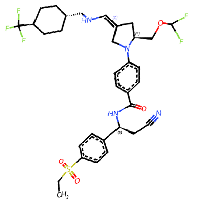 CCS(=O)(=O)c1ccc([C@H](CC#N)NC(=O)c2ccc(N3C/C(=C\NC[C@H]4CC[C@H](C(F)(F)F)CC4)C[C@H]3COC(F)F)cc2)cc1